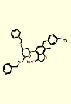 CCOc1ccc(Cc2cc(C3CC(OCc4ccccc4)CC(COCc4ccccc4)O3)c3c(c2C)OCC3OC)cc1